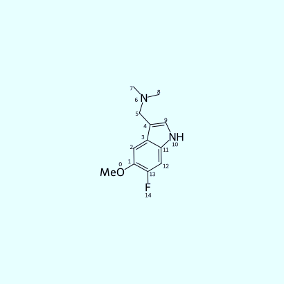 COc1cc2c(CN(C)C)c[nH]c2cc1F